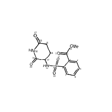 COC(=O)c1ccccc1S(=O)(=O)NC1CCC(=O)NC1=O